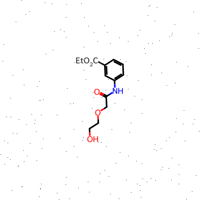 CCOC(=O)c1cccc(NC(=O)COCCO)c1